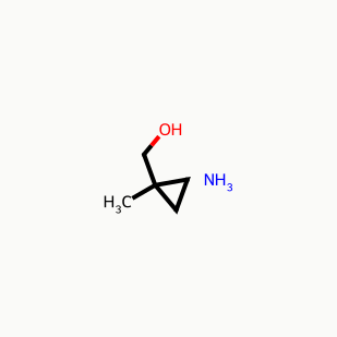 CC1(CO)CC1.N